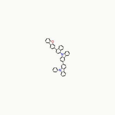 c1ccc(-n2c3ccccc3c3ccc(-c4ccc5c(c4)c4ccccc4n5-c4ccc(-c5ccc6c(c5)oc5ccccc56)c5ccccc45)cc32)cc1